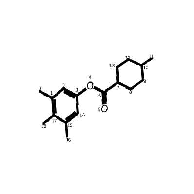 Cc1cc(OC(=O)C2CCC(C)CC2)cc(C)c1C